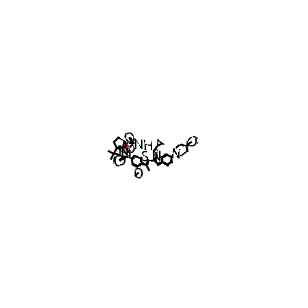 COc1cc(C(=O)N2CC3CCC2(C(C)(C)C)[C@@H]3OC(N)=O)cc2sc(-c3cc4ccc(N5CCC(OC)CC5)cc4n3CC3CC3)c(C)c12